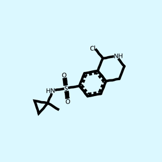 CC1(NS(=O)(=O)c2ccc3c(c2)C(Cl)NCC3)CC1